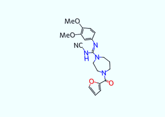 COc1ccc(N=C(NC#N)N2CCCN(C(=O)c3ccco3)CC2)cc1OC